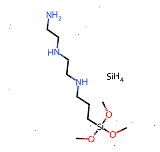 CO[Si](CCCNCCNCCN)(OC)OC.[SiH4]